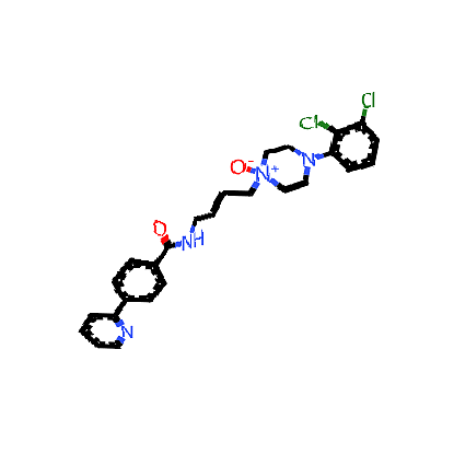 O=C(NC/C=C/C[N+]1([O-])CCN(c2cccc(Cl)c2Cl)CC1)c1ccc(-c2ccccn2)cc1